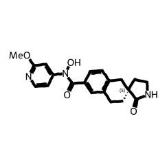 COc1cc(N(O)C(=O)c2ccc3c(c2)CC[C@@]2(CCNC2=O)C3)ccn1